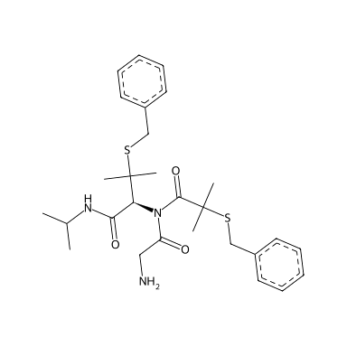 CC(C)NC(=O)[C@H](N(C(=O)CN)C(=O)C(C)(C)SCc1ccccc1)C(C)(C)SCc1ccccc1